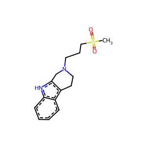 CS(=O)(=O)CCCN1CCc2c([nH]c3ccccc23)C1